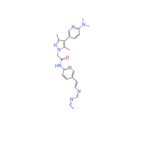 C\C=N/C=N\C=C\c1ccc(NC(=O)Cn2nc(C)c(-c3ccc(N(C)C)nc3)c2C)nc1